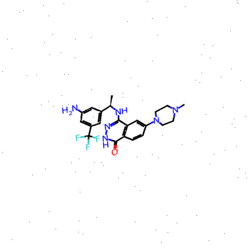 C[C@@H](Nc1n[nH]c(=O)c2ccc(N3CCN(C)CC3)cc12)c1cc(N)cc(C(F)(F)F)c1